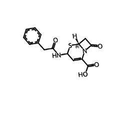 O=C(Cc1ccccc1)NC1C=C(C(=O)O)N2C(=O)C[C@H]2S1